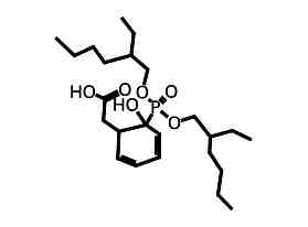 CCCCC(CC)COP(=O)(OCC(CC)CCCC)C1(O)C=CC=CC1CC(=O)O